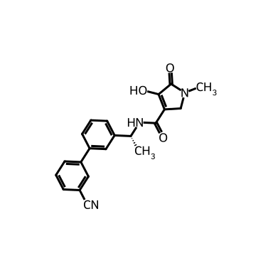 C[C@@H](NC(=O)C1=C(O)C(=O)N(C)C1)c1cccc(-c2cccc(C#N)c2)c1